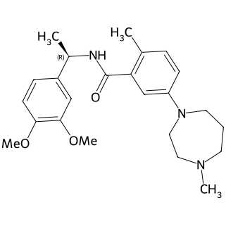 COc1ccc([C@@H](C)NC(=O)c2cc(N3CCCN(C)CC3)ccc2C)cc1OC